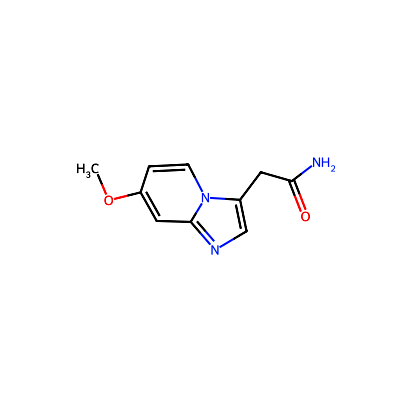 COc1ccn2c(CC(N)=O)cnc2c1